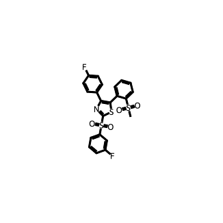 CS(=O)(=O)c1ccccc1-c1sc(S(=O)(=O)c2cccc(F)c2)nc1-c1ccc(F)cc1